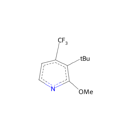 COc1nccc(C(F)(F)F)c1C(C)(C)C